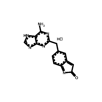 Cl.Nc1nc(Cc2ccc3c(c2)=CC(=O)N=3)nc2nc[nH]c12